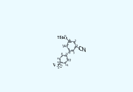 CC(C)(C)c1cc(C#N)cc(-c2ccc(C(F)(F)F)cc2)c1